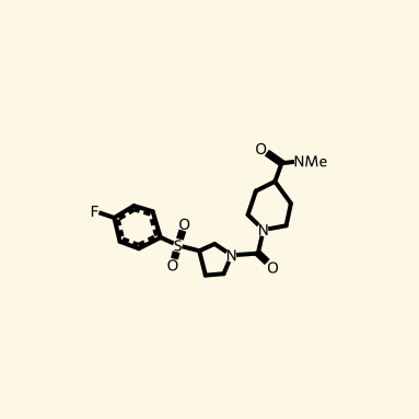 CNC(=O)C1CCN(C(=O)N2CCC(S(=O)(=O)c3ccc(F)cc3)C2)CC1